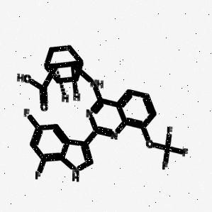 O=C(O)[C@H]1C2CCC(CC2)[C@@H]1Nc1nc(-c2c[nH]c3c(F)cc(F)cc23)nc2c(OC(F)(F)F)cccc12